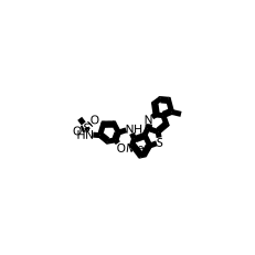 COc1cc(NS(C)(=O)=O)ccc1Nc1cccc2sc3cc4c(C)cccc4nc3c12